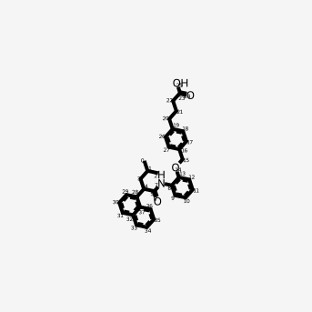 CC(C)CC(C(=O)Nc1ccccc1OCc1ccc(CCCC(=O)O)cc1)c1cccc2ccccc12